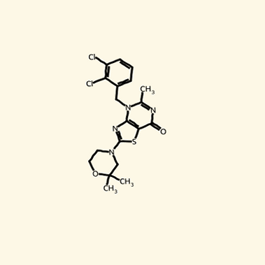 Cc1nc(=O)c2sc(N3CCOC(C)(C)C3)nc2n1Cc1cccc(Cl)c1Cl